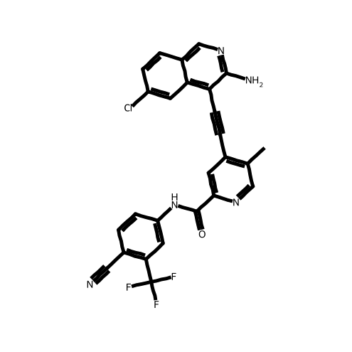 Cc1cnc(C(=O)Nc2ccc(C#N)c(C(F)(F)F)c2)cc1C#Cc1c(N)ncc2ccc(Cl)cc12